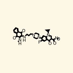 CNC1=C(NCCCN2CCN(c3cc4c(cc3F)C(=O)C(C(=O)N=O)CN4C3CC3)CC2)C(=O)c2ccccc2C1=O